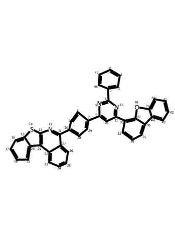 c1ccc(-c2nc(-c3ccc(-c4nc5sc6ccccc6c5c5ccccc45)cc3)cc(-c3cccc4c3oc3ccccc34)n2)cc1